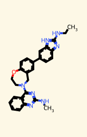 CCNc1nc2ccc(-c3ccc4c(c3)CN(c3nc(NC)nc5ccccc35)CCO4)cc2[nH]1